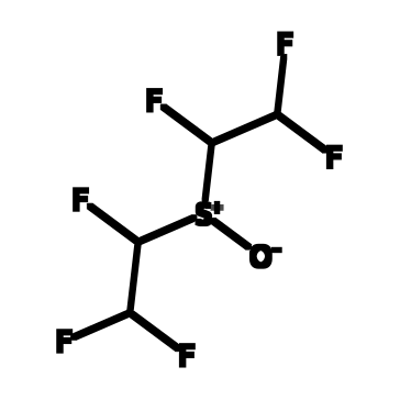 [O-][S+](C(F)C(F)F)C(F)C(F)F